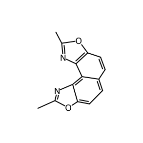 Cc1nc2c(ccc3ccc4oc(C)nc4c32)o1